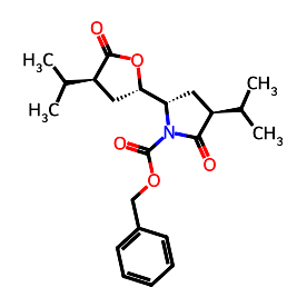 CC(C)[C@@H]1C[C@@H]([C@@H]2C[C@@H](C(C)C)C(=O)N2C(=O)OCc2ccccc2)OC1=O